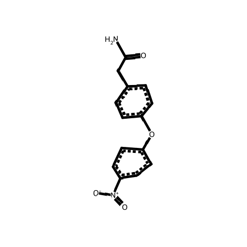 NC(=O)Cc1ccc(Oc2ccc([N+](=O)[O-])cc2)cc1